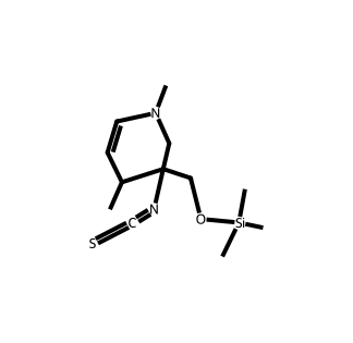 CC1C=CN(C)CC1(CO[Si](C)(C)C)N=C=S